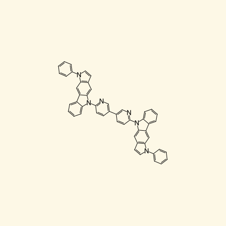 c1ccc(-n2ccc3cc4c(cc32)c2ccccc2n4-c2ccc(-c3ccc(-n4c5ccccc5c5cc6c(ccn6-c6ccccc6)cc54)nc3)cn2)cc1